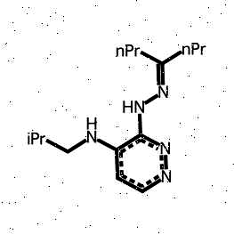 CCCC(CCC)=NNc1nnccc1NCC(C)C